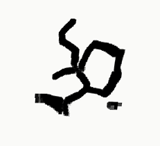 CC[N+]1(C)C=CC=CC1N=N.[Cl-]